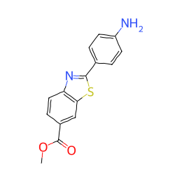 COC(=O)c1ccc2nc(-c3ccc(N)cc3)sc2c1